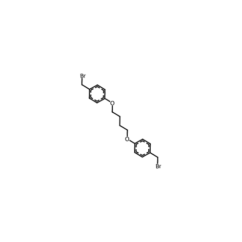 BrCc1ccc(OCCCCOc2ccc(CBr)cc2)cc1